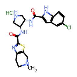 CN1CCc2nc(C(=O)N[C@@H]3CNC[C@@H]3NC(=O)c3cc4cc(Cl)ccc4[nH]3)sc2C1.Cl